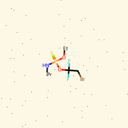 CCOP(=S)(NC(C)C)OC(F)(F)CBr